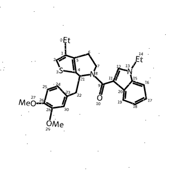 CCc1csc2c1CCN(C(=O)c1cn(CC)c3ccccc13)C2Cc1ccc(OC)c(OC)c1